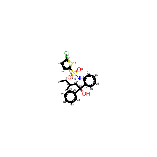 CCC(C)[C@H](NS(=O)(=O)c1ccc(Cl)s1)C(O)(c1ccccc1)c1ccccc1